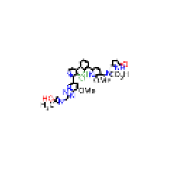 COc1nc(-c2cccc(-c3ccnc(-c4cc(OC)c5nc(CN6CC(C)(O)C6)nn5c4)c3Cl)c2Cl)ccc1CN(C[C@@H]1CCC(=O)N1)C(=O)O